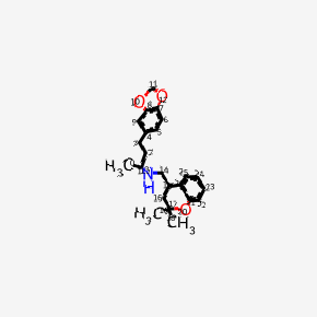 CC(CCc1ccc2c(c1)OCO2)NCC1CC(C)(C)Oc2ccccc21